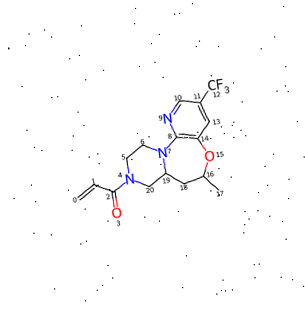 C=CC(=O)N1CCN2c3ncc(C(F)(F)F)cc3OC(C)CC2C1